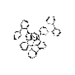 c1ccc(-c2ccccc2-c2cccc(N(c3cccc(-c4ccccc4-c4ccccc4)c3)c3cccc4c3C3(c5ccccc5-c5ccccc53)c3ccccc3-4)c2)cc1